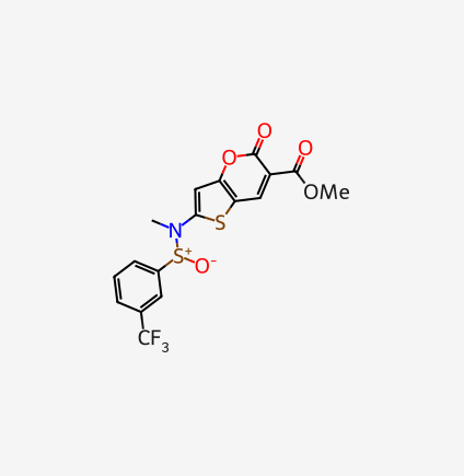 COC(=O)c1cc2sc(N(C)[S+]([O-])c3cccc(C(F)(F)F)c3)cc2oc1=O